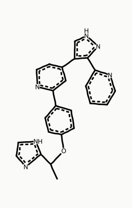 CC(Oc1ccc(-c2cc(-c3c[nH]nc3-c3ccccn3)ccn2)cc1)c1ncc[nH]1